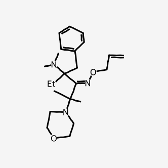 C=CCON=C(C(C)(C)N1CCOCC1)C(CC)(Cc1ccccc1)N(C)C